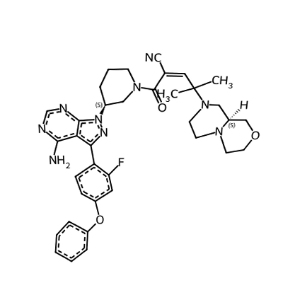 CC(C)(C=C(C#N)C(=O)N1CCC[C@H](n2nc(-c3ccc(Oc4ccccc4)cc3F)c3c(N)ncnc32)C1)N1CCN2CCOC[C@@H]2C1